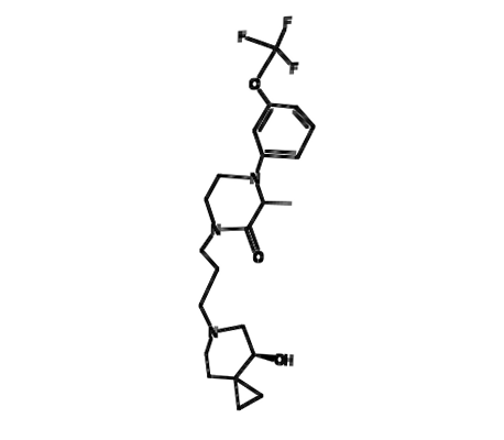 CC1C(=O)N(CCCN2CCC3(CC3)[C@H](O)C2)CCN1c1cccc(OC(F)(F)F)c1